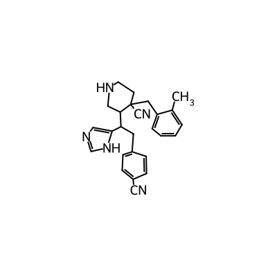 Cc1ccccc1CC1(C#N)CCNCC1C(Cc1ccc(C#N)cc1)c1cnc[nH]1